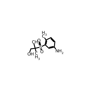 Cc1ccc(N)cc1S(=O)(=O)C(C)(C)CO